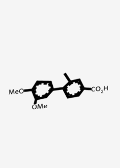 COc1ccc(-c2ccc(C(=O)O)cc2C)cc1OC